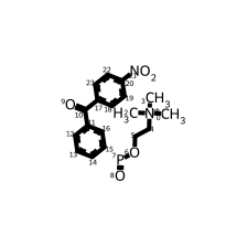 C[N+](C)(C)CCOP=O.O=C(c1ccccc1)c1ccc([N+](=O)[O-])cc1